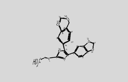 O=C(O)CSc1nc(-c2ccc3c(c2)OCO3)c(-c2ccc3c(c2)OCO3)o1